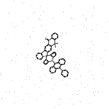 CC1(C)c2ccccc2C(=O)c2cc3c(cc21)C1(c2ccccc2-3)c2ccccc2N(c2c3ccccc3c(-c3ccccc3)c3ccccc23)c2ccccc21